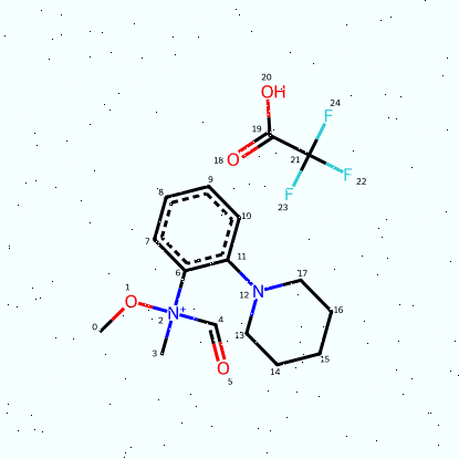 CO[N+](C)(C=O)c1ccccc1N1CCCCC1.O=C(O)C(F)(F)F